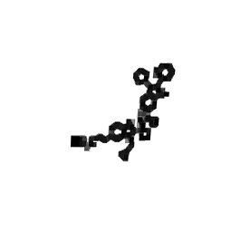 Cn1c(-c2ccccn2)c(C2CCCC2)c2ccc(C(=O)NC3(c4nc5ccc(/C=C/C(=O)O)cc5n4CC4CC4)CCC3)cc21